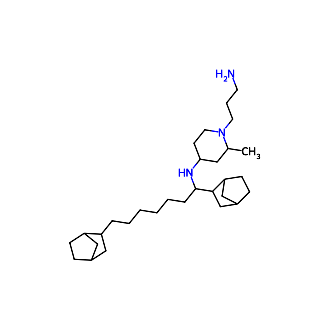 CC1CC(NC(CCCCCCC2CC3CCC2C3)C2CC3CCC2C3)CCN1CCCN